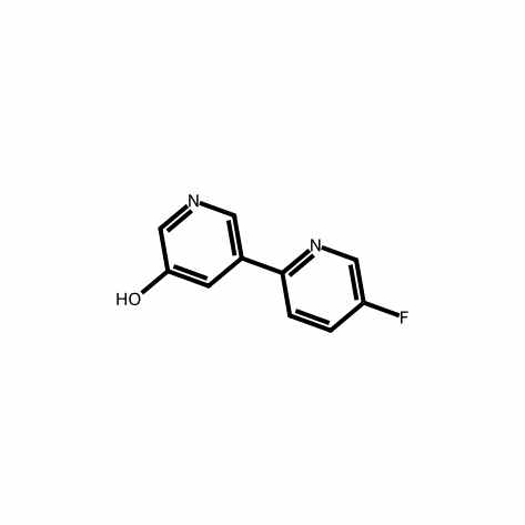 Oc1cncc(-c2ccc(F)cn2)c1